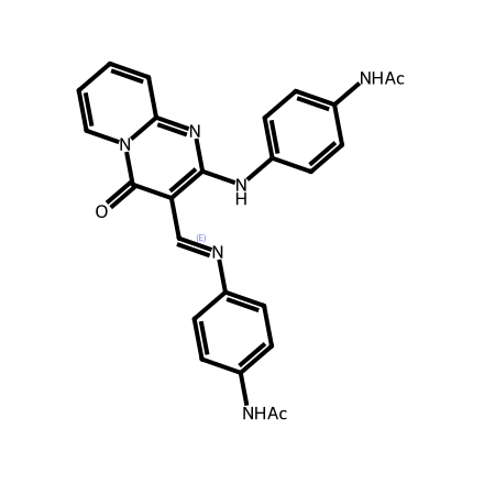 CC(=O)Nc1ccc(/N=C/c2c(Nc3ccc(NC(C)=O)cc3)nc3ccccn3c2=O)cc1